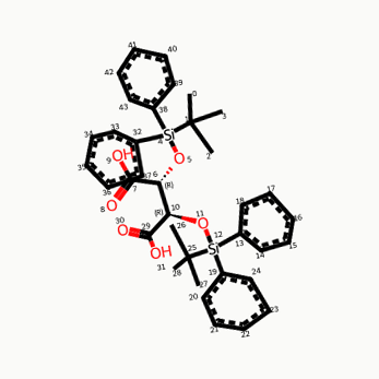 CC(C)(C)[Si](O[C@@H](C(=O)O)[C@@H](O[Si](c1ccccc1)(c1ccccc1)C(C)(C)C)C(=O)O)(c1ccccc1)c1ccccc1